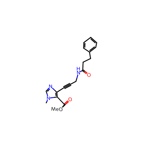 COC(=O)c1c(C#CCNC(=O)CCc2ccccc2)ncn1C